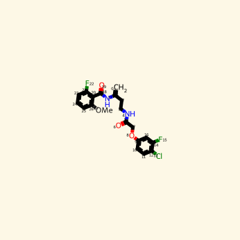 C=C(CCNC(=O)COc1ccc(Cl)c(F)c1)NC(=O)c1c(F)cccc1OC